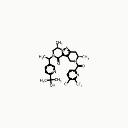 CC(c1ccc(C(C)(C)O)nc1)N1C[C@@H](C)n2nc3c(c2C1=O)CN(C(=O)c1ccc(Cl)c(C(F)(F)F)n1)[C@H](C)C3